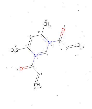 C=CC(=O)[n+]1c[n+](C(=O)C=C)c(S(=O)(=O)O)cc1C